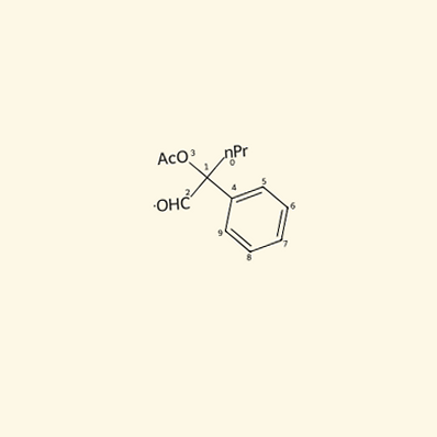 CCCC([C]=O)(OC(C)=O)c1ccccc1